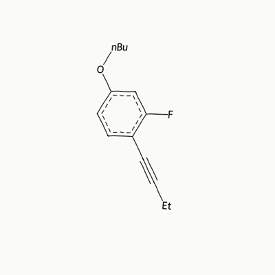 CCC#Cc1ccc(OCCCC)cc1F